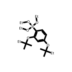 CCO[Si](OCC)(OCC)c1ccc(OC(C)(C)CC)cc1OC(C)(C)CC